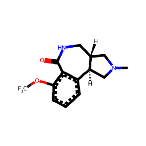 CN1C[C@H]2CNC(=O)c3c(OC(F)(F)F)cccc3[C@@H]2C1